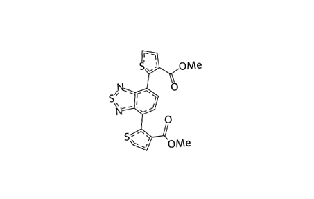 COC(=O)c1ccsc1-c1ccc(-c2sccc2C(=O)OC)c2nsnc12